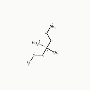 CCOC[C@](C)(CCN)C(=O)O